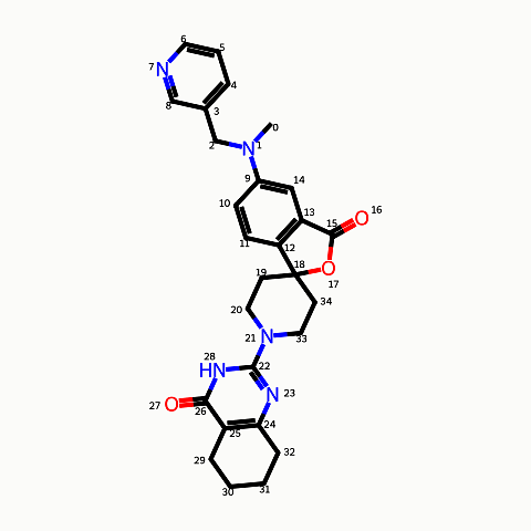 CN(Cc1cccnc1)c1ccc2c(c1)C(=O)OC21CCN(c2nc3c(c(=O)[nH]2)CCCC3)CC1